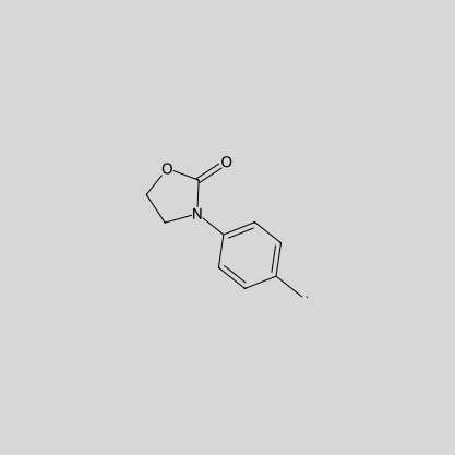 [CH2]c1ccc(N2CCOC2=O)cc1